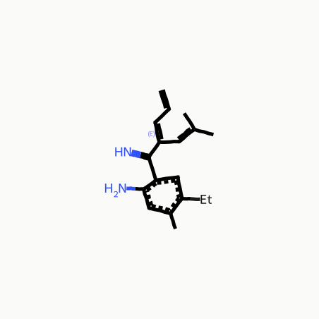 C=C/C=C(\C=C(C)C)C(=N)c1cc(CC)c(C)cc1N